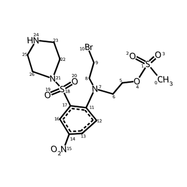 CS(=O)(=O)OCCN(CCBr)c1ccc([N+](=O)[O-])cc1S(=O)(=O)N1CCNCC1